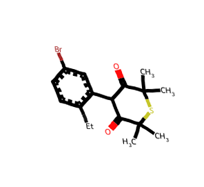 CCc1ccc(Br)cc1C1C(=O)C(C)(C)SC(C)(C)C1=O